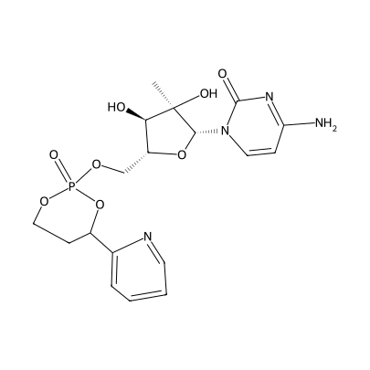 C[C@@]1(O)[C@H](O)[C@@H](COP2(=O)OCCC(c3ccccn3)O2)O[C@H]1n1ccc(N)nc1=O